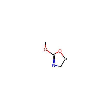 COC1=NC[C]O1